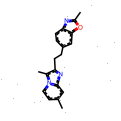 Cc1ccn2c(C)c(CCc3ccc4nc(C)oc4c3)nc2c1